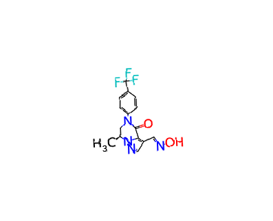 C[C@H]1CN(c2ccc(C(F)(F)F)cc2)C(=O)c2c(C=NO)cnn21